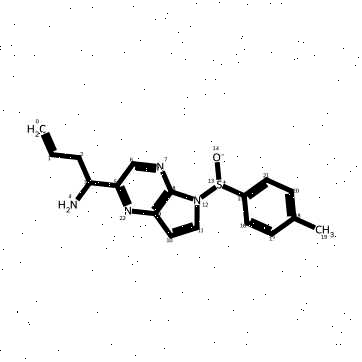 C=CCC(N)c1cnc2c(ccn2[S+]([O-])c2ccc(C)cc2)n1